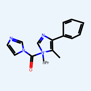 CCC[N+]1(C(=O)n2ccnc2)C=NC(c2ccccc2)=C1C